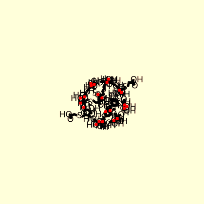 O=C(O)CCSC[C@H]1O[C@@H]2O[C@H]3[C@@H](O)[C@@H](O)[C@@H](O[C@H]4[C@@H](O)[C@@H](O)[C@@H](O[C@H]5[C@@H](O)[C@@H](O)[C@@H](O[C@H]6[C@@H](O)[C@@H](O)[C@@H](O[C@H]7[C@@H](O)[C@@H](O)[C@@H](O[C@H]8[C@@H](O)[C@@H](O)[C@@H](O[C@H]9[C@H](O)[C@@H](O)[C@@H](O[C@H]1[C@@H](O)[C@H]2O)O[C@@H]9COCP(=O)(c1ccccc1)c1ccccc1)O[C@@H]8CSCCC(=O)O)O[C@@H]7CSCCC(=O)O)O[C@@H]6CSCCC(=O)O)O[C@@H]5CSCCC(=O)O)O[C@@H]4CSCCC(=O)O)O[C@@H]3CSCCC(=O)O